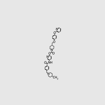 CC1CCN(Cc2ccc(C(=O)Nc3ccc(OC(=O)N4CCC(COc5ccc(Oc6ccccn6)cc5)CC4)nc3)cc2)CC1